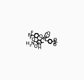 Cc1[nH]c(=O)c(C(N)=O)c(-c2cccc(C(F)(F)F)c2)c1C(=O)N(Cc1ccc(S(C)(=O)=O)cc1)N1CCOCC1